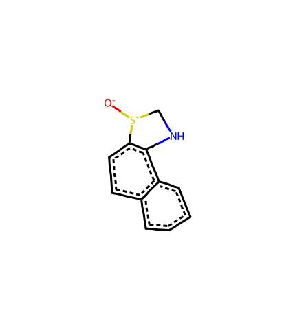 [O-][S+]1CNc2c1ccc1ccccc21